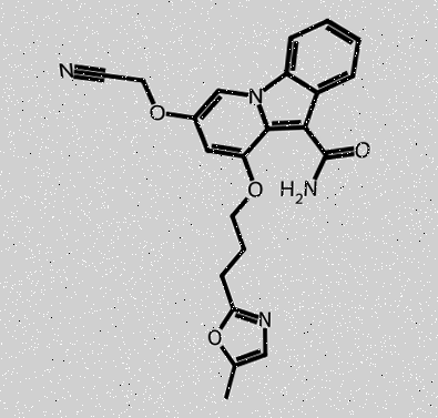 Cc1cnc(CCCOc2cc(OCC#N)cn3c2c(C(N)=O)c2ccccc23)o1